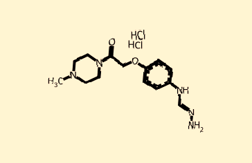 CN1CCN(C(=O)COc2ccc(NC=NN)cc2)CC1.Cl.Cl